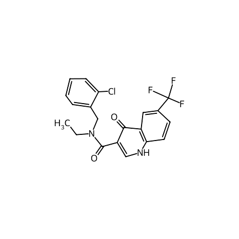 CCN(Cc1ccccc1Cl)C(=O)c1c[nH]c2ccc(C(F)(F)F)cc2c1=O